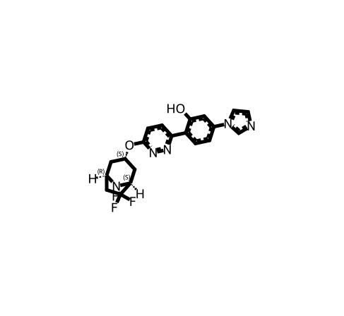 Oc1cc(-n2ccnc2)ccc1-c1ccc(O[C@H]2C[C@@H]3CC(F)(F)[C@H](C2)N3)nn1